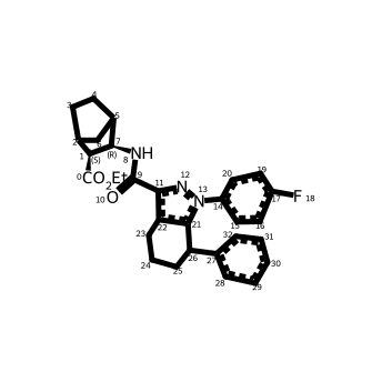 CCOC(=O)[C@H]1C2CCC(C2)[C@H]1NC(=O)c1nn(-c2ccc(F)cc2)c2c1CCCC2c1ccccc1